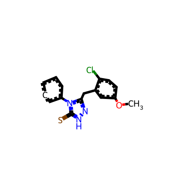 COc1ccc(Cl)c(Cc2n[nH]c(=S)n2-c2ccccc2)c1